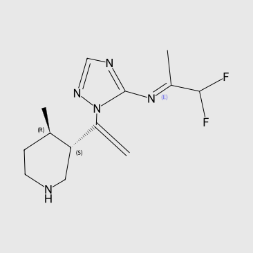 C=C([C@@H]1CNCC[C@H]1C)n1ncnc1/N=C(\C)C(F)F